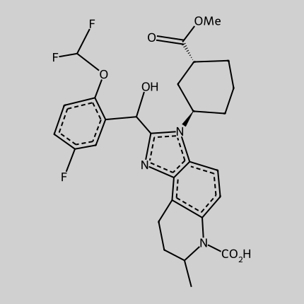 COC(=O)[C@@H]1CCC[C@@H](n2c(C(O)c3cc(F)ccc3OC(F)F)nc3c4c(ccc32)N(C(=O)O)C(C)CC4)C1